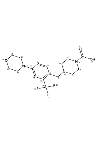 O=C(O)N1CCN(Cc2ccc(N3CCOCC3)cc2C(F)(F)F)CC1